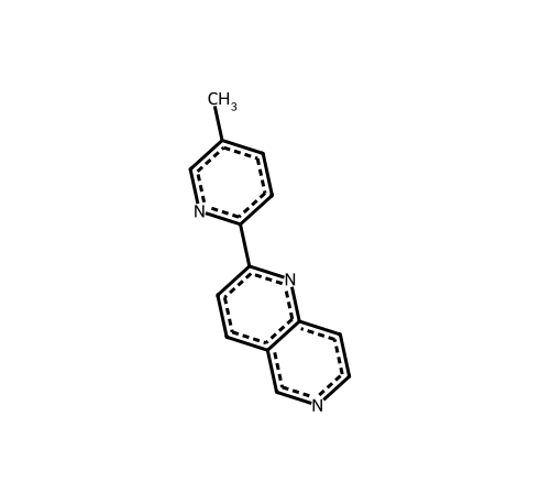 Cc1ccc(-c2ccc3cnccc3n2)nc1